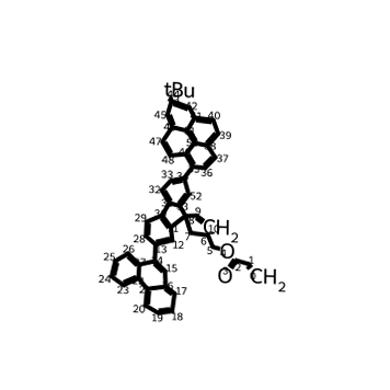 C=CC(=O)OCCCC1(C=C)c2cc(-c3cc4ccccc4c4ccccc34)ccc2-c2ccc(-c3ccc4ccc5cc(C(C)(C)C)cc6ccc3c4c56)cc21